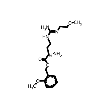 COCCN=C(N)NCC[C@H](N)C(=O)OCc1ccccc1OC